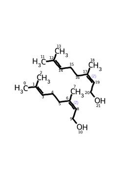 CC(C)=CCC/C(C)=C\CO.CC(C)=CCC/C(C)=C\CO